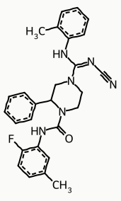 Cc1ccc(F)c(NC(=O)N2CCN(/C(=N\C#N)Nc3ccccc3C)CC2c2ccccc2)c1